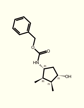 C[C@@H]1[C@H](C)[C@@H](O)C[C@H]1NC(=O)OCc1ccccc1